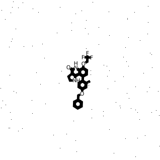 Cc1cc(OCc2ccccc2)ccc1-c1ccc(OCC(F)(F)F)c2[nH]c(=O)c3c(c12)NCC3